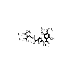 COc1cc(O)c(C(=O)N(C)c2nc(C(=O)NCCN(C(C)C)C(C)C)cs2)cc1OC